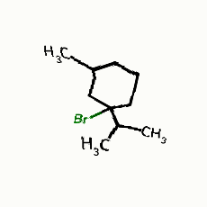 CC1CCCC(Br)(C(C)C)C1